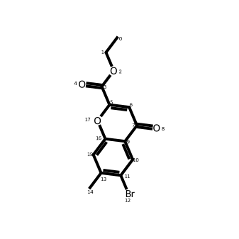 CCOC(=O)c1cc(=O)c2cc(Br)c(C)cc2o1